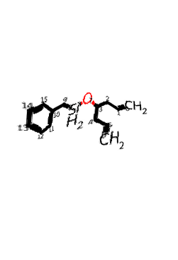 C=CCC(CC=C)O[SiH2]Cc1ccccc1